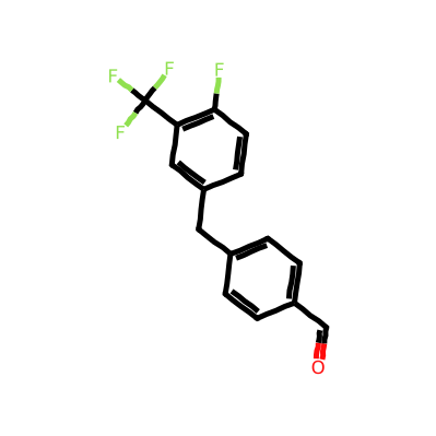 O=Cc1ccc(Cc2ccc(F)c(C(F)(F)F)c2)cc1